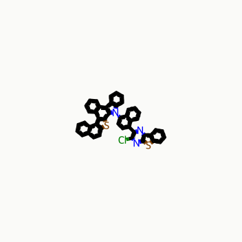 Clc1nc2sc3ccccc3c2nc1-c1ccc(-n2c3ccccc3c3c4ccccc4c4c(sc5ccc6ccccc6c54)c32)c2ccccc12